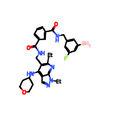 Bc1cc(F)cc(CNC(=O)c2cccc(C(=O)NCc3c(CC)nc4c(cnn4CC)c3NC3CCOCC3)c2)c1